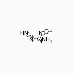 Nc1ncc(-c2cnn(C3CCNCC3)c2)cc1-c1cc2cc(F)ccc2cn1